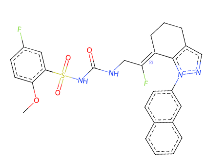 COc1ccc(F)cc1S(=O)(=O)NC(=O)NC/C(F)=C1\CCCc2cnn(-c3ccc4ccccc4c3)c21